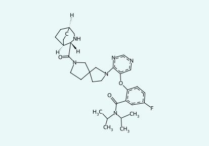 CC(C)N(C(=O)c1cc(F)ccc1Oc1cncnc1N1CCC2(CCN(C(=O)[C@H]3NC[C@H]4CC[C@@H]3CC4)C2)C1)C(C)C